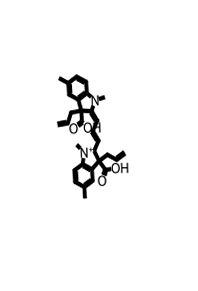 C=CCC1(C(=O)O)C(/C=C/C=C2/N(C)c3ccc(C)cc3C2(CC=C)C(=O)O)=[N+](C)c2ccc(C)cc21